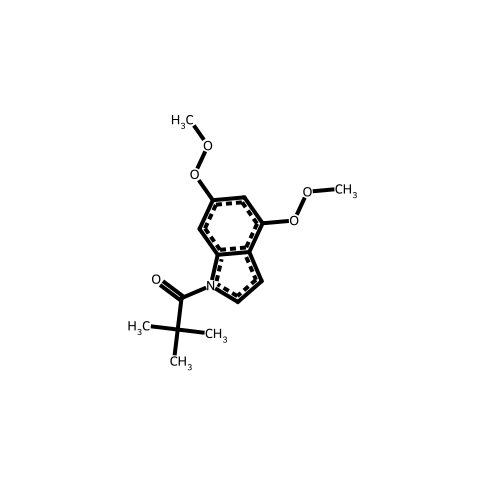 COOc1cc(OOC)c2ccn(C(=O)C(C)(C)C)c2c1